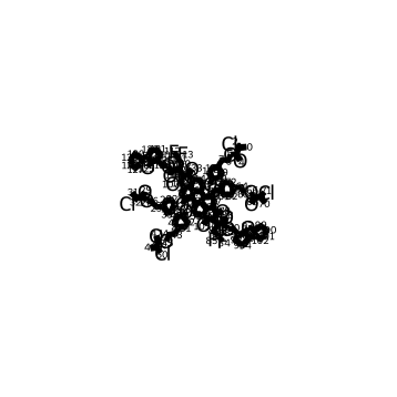 C=C(Cl)C(=O)OCCc1ccc(Oc2cc3c4c(cc(Oc5ccc(CCOC(=O)C(=C)Cl)cc5)c5c6c(Oc7ccc(CCOC(=O)C(=C)Cl)cc7)cc7c8c(cc(Oc9ccc(CCOC(=O)C(=C)Cl)cc9)c(c2c45)c86)C(=O)N(C(CC(F)(F)F)C(=O)OCc2cccc4c2oc2ccccc24)C7=O)C(=O)N(C(CC(F)(F)F)C(=O)OCc2cccc4c2oc2ccccc24)C3=O)cc1